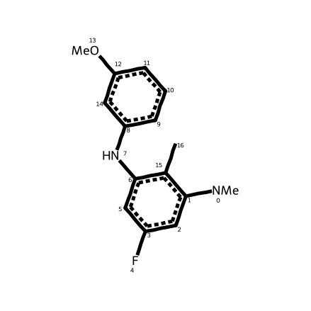 CNc1cc(F)cc(Nc2cccc(OC)c2)c1C